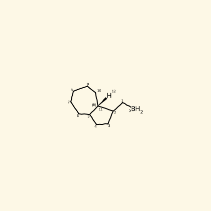 BCC1CCC2CCCCC[C@H]12